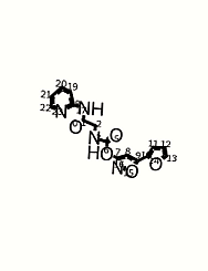 O=C(CNC(=O)Oc1cc(-c2ccco2)on1)Nc1ccccn1